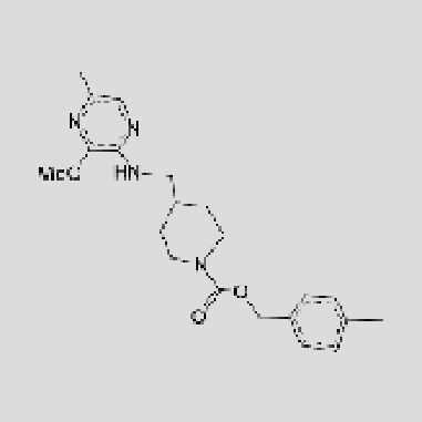 COc1nc(C)cnc1NCC1CCN(C(=O)OCc2ccc(C)cc2)CC1